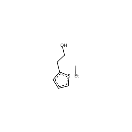 CCC.OCCc1cccs1